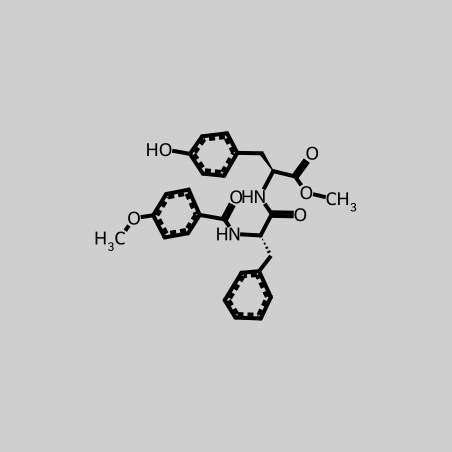 COC(=O)[C@H](Cc1ccc(O)cc1)NC(=O)[C@H](Cc1ccccc1)NC(=O)c1ccc(OC)cc1